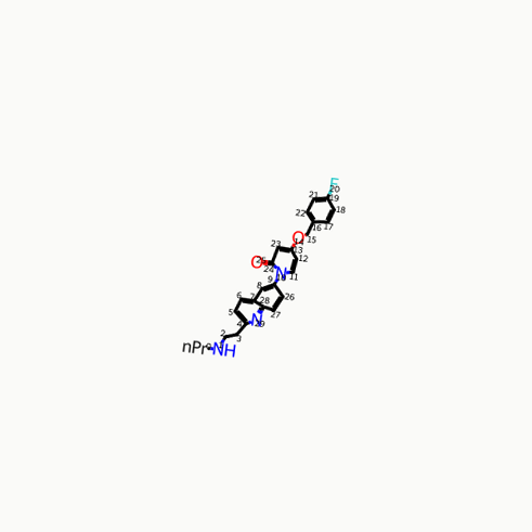 CCCNCCc1ccc2cc(-n3ccc(OCc4ccc(F)cc4)cc3=O)ccc2n1